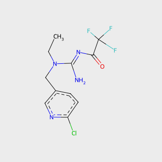 CCN(Cc1ccc(Cl)nc1)/C(N)=N/C(=O)C(F)(F)F